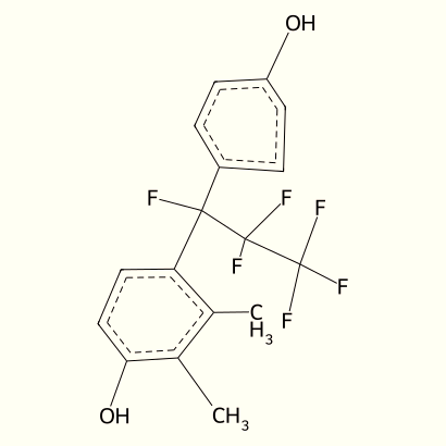 Cc1c(O)ccc(C(F)(c2ccc(O)cc2)C(F)(F)C(F)(F)F)c1C